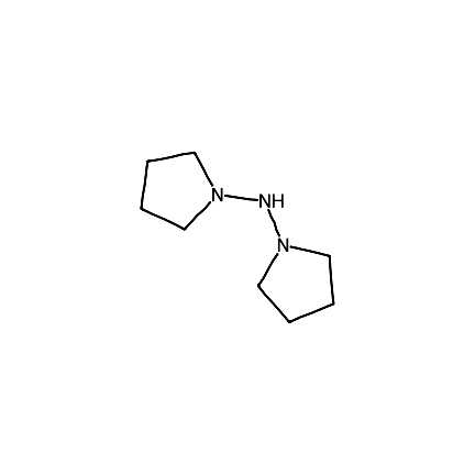 C1CCN(NN2CCCC2)C1